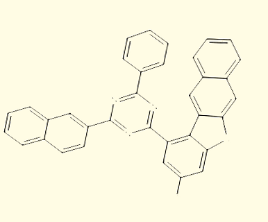 Clc1cc(-c2nc(-c3ccccc3)nc(-c3ccc4ccccc4c3)n2)c2c(c1)sc1cc3ccccc3cc12